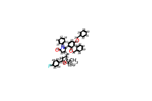 CC(C)(C)[Si](C)(C)O[C@H](CCC[C@@H]1CC(=O)N(c2ccccc2)[C@@H]1c1ccc(OCc2ccccc2)cc1OCc1ccccc1)c1ccc(F)cc1